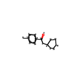 Cc1ccc(C(=O)CC2CCCCC2)cc1